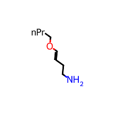 CCCCOC=CCCN